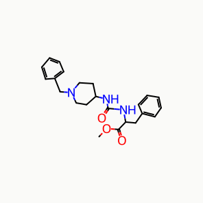 COC(=O)C(Cc1ccccc1)NC(=O)NC1CCN(Cc2ccccc2)CC1